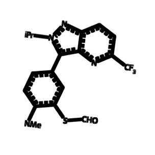 CNc1ccc(-c2c3nc(C(F)(F)F)ccc3nn2C(C)C)cc1SC=O